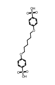 O=S(=O)(O)c1ccc(OCCCCCCOc2ccc(S(=O)(=O)O)cc2)cc1